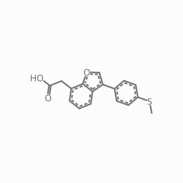 CSc1ccc(-c2coc3c(CC(=O)O)cccc23)cc1